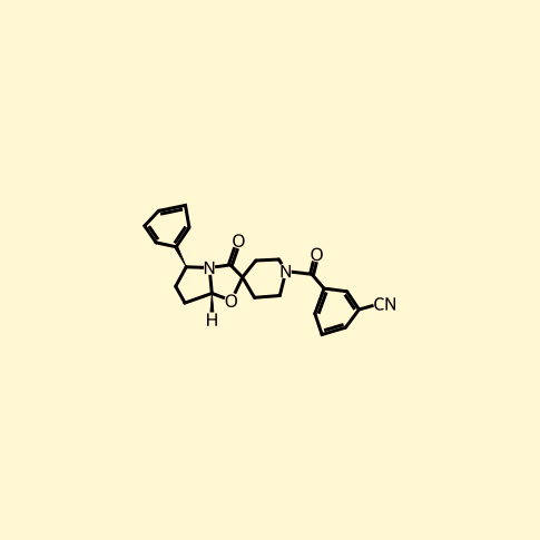 N#Cc1cccc(C(=O)N2CCC3(CC2)O[C@@H]2CC[C@@H](c4ccccc4)N2C3=O)c1